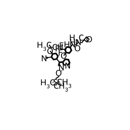 CC(C)Oc1ccc(-c2cn(COCC[Si](C)(C)C)c3nccc(Oc4ccc(NC(=O)NCC5(C)COC5)cc4C(F)(F)F)c23)cc1C#N